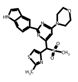 Cc1nc(C(c2cc(N3CCOCC3)nc(-c3ccc4[nH]ccc4c3)n2)S(C)(=O)=O)cs1